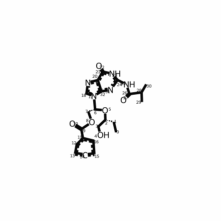 CC[C@H](CO)O[C@H](COC(=O)c1ccccc1)n1cnc2c(=O)[nH]c(NC(=O)C(C)C)nc21